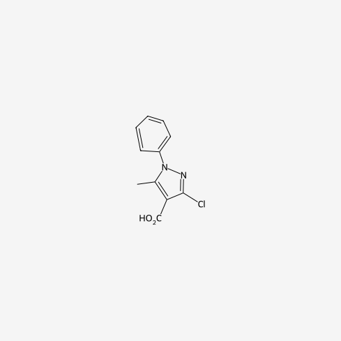 Cc1c(C(=O)O)c(Cl)nn1-c1ccccc1